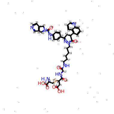 NC(CSC(CC(=O)O)C(=O)NCC(=O)NCCCCCCN1N=C(c2ccc(NC(=O)N3Cc4ccncc4C3)cc2)CC(c2cccc3ncccc23)C1=O)C(=O)O